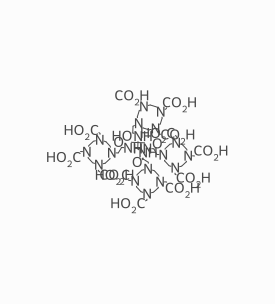 O=C(O)CN1CCN(CC(=O)O)CCN(CC(=O)NCC(CNC(=O)CN2CCN(CC(=O)O)CCN(CC(=O)O)CCN(CC(=O)O)CC2)(CNC(=O)CN2CCN(CC(=O)O)CCN(CC(=O)O)CCN(CC(=O)O)CC2)NC(O)CN2CCN(CC(=O)O)CCN(CC(=O)O)CCN(CC(=O)O)CC2)CCN(CC(=O)O)CC1